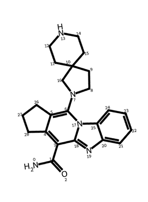 NC(=O)c1c2c(c(N3CCC4(CCNCC4)C3)n3c1nc1ccccc13)CCC2